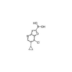 OB(O)c1cc2ncc(C3CC3)c(Cl)c2o1